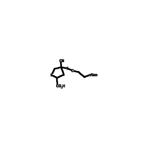 CCCCCCCCCCCCSC1(C#N)CSC(C(=O)O)C1